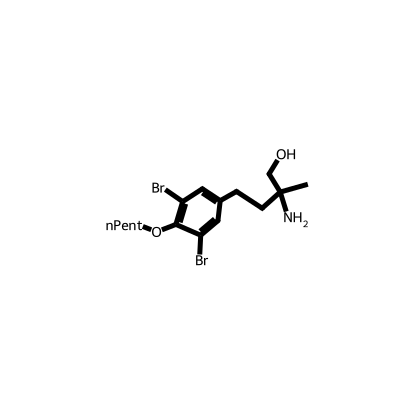 CCCCCOc1c(Br)cc(CCC(C)(N)CO)cc1Br